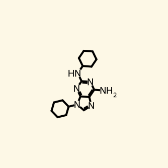 Nc1nc(NC2CCCCC2)nc2c1ncn2C1CCCCC1